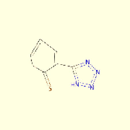 S=C1CC=CC=C1c1nnn[nH]1